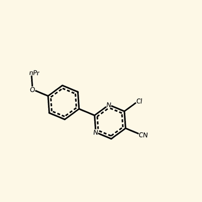 CCCOc1ccc(-c2ncc(C#N)c(Cl)n2)cc1